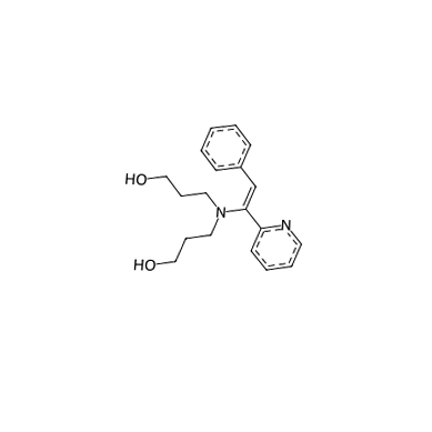 OCCCN(CCCO)C(=Cc1ccccc1)c1ccccn1